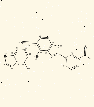 CC(=O)c1cccc(-c2cc3c(Nc4ccc5[nH]ccc5c4C)c(C#N)cnc3s2)c1